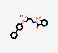 O=C(O)C(CCN1C(=O)c2ccccc2S1(=O)=O)COc1ccc(-c2ccccc2)cc1